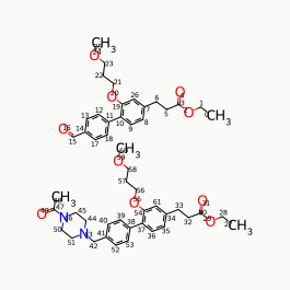 CCOC(=O)CCc1ccc(-c2ccc(C=O)cc2)c(OCCCOC)c1.CCOC(=O)CCc1ccc(-c2ccc(CN3CCN(C(C)=O)CC3)cc2)c(OCCCOC)c1